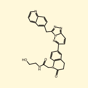 O=C(CN1C(=O)CCc2cc(-c3ccc4nnc(Cc5ccc6ncccc6c5)n4n3)ccc21)NCCO